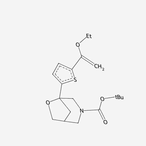 C=C(OCC)c1ccc(C23CC(CO2)CN(C(=O)OC(C)(C)C)C3)s1